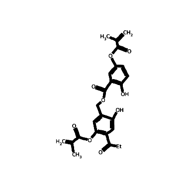 C=C(C)C(=O)Oc1ccc(O)c(C(=O)OCc2cc(OC(=O)C(=C)C)c(C(=O)CC)cc2O)c1